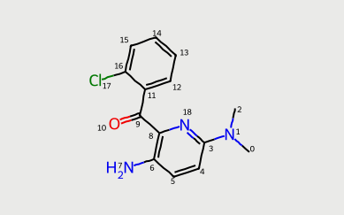 CN(C)c1ccc(N)c(C(=O)c2ccccc2Cl)n1